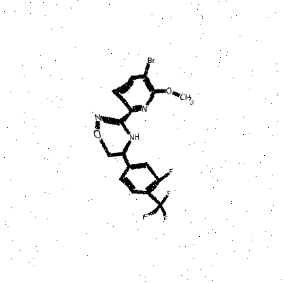 COc1nc(C2=NOCC(c3ccc(C(F)(F)F)c(F)c3)N2)ccc1Br